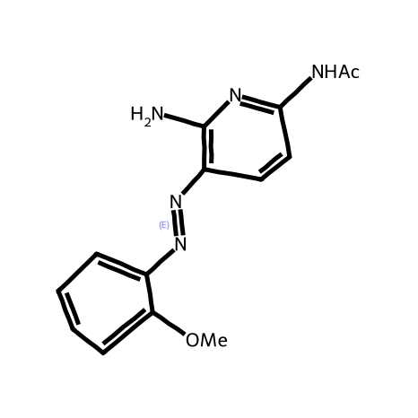 COc1ccccc1/N=N/c1ccc(NC(C)=O)nc1N